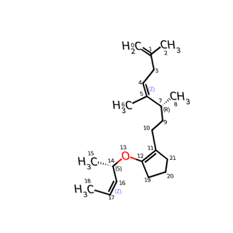 C=C(C)C/C=C(/C)[C@H](C)CCC1=C(O[C@@H](C)/C=C\C)CCC1